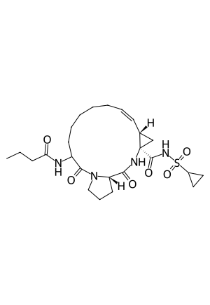 CCCC(=O)NC1CCCCC/C=C\[C@@H]2C[C@@]2(C(=O)NS(=O)(=O)C2CC2)NC(=O)[C@@H]2CCCN2C1=O